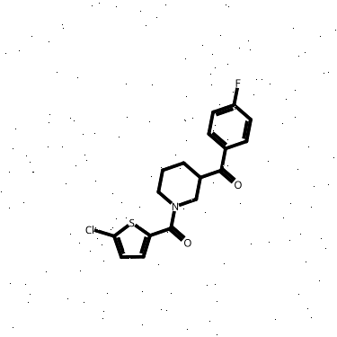 O=C(c1ccc(F)cc1)C1CCCN(C(=O)c2ccc(Cl)s2)C1